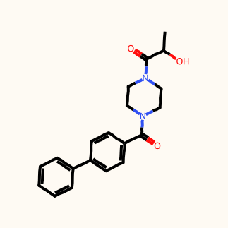 CC(O)C(=O)N1CCN(C(=O)c2ccc(-c3ccccc3)cc2)CC1